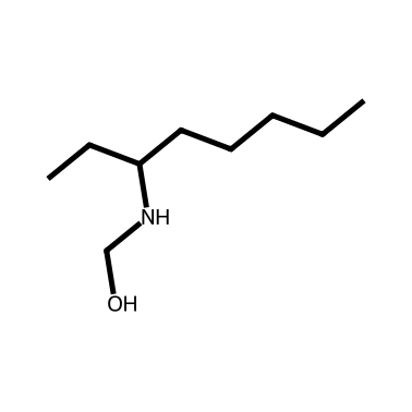 CCCCCC(CC)NCO